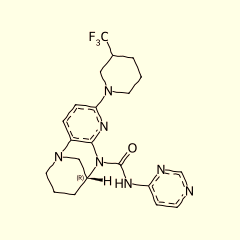 O=C(Nc1ccncn1)N1c2nc(N3CCCC(C(F)(F)F)C3)ccc2N2CCC[C@@H]1C2